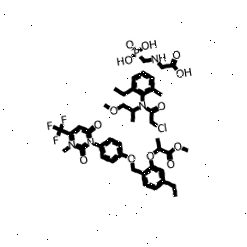 CCc1ccc(COc2ccc(-n3c(=O)cc(C(F)(F)F)n(C)c3=O)cc2)c(OC(C)C(=O)OC)c1.CCc1cccc(C)c1N(C(=O)CCl)C(C)COC.O=C(O)CNCP(=O)(O)O